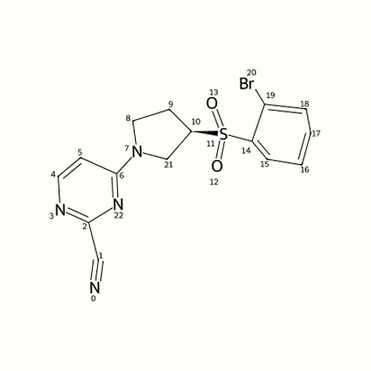 N#Cc1nccc(N2CC[C@@H](S(=O)(=O)c3ccccc3Br)C2)n1